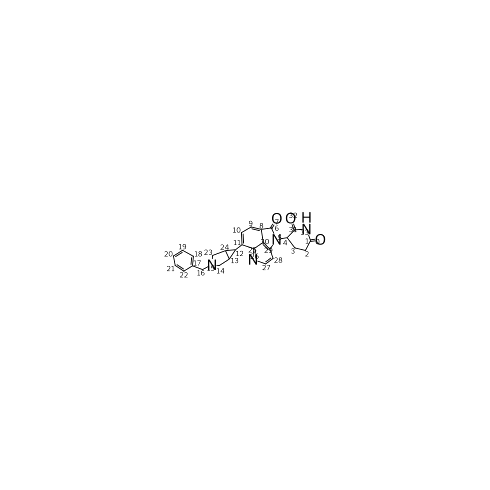 O=C1CCC(N2C(=O)c3ccc(C4C5CN(Cc6ccccc6)CC54)c4nccc2c34)C(=O)N1